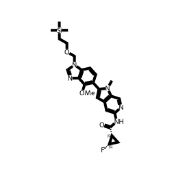 COc1c(-c2cc3cc(NC(=O)[C@@H]4C[C@@H]4F)ncc3n2C)ccc2c1ncn2COCC[Si](C)(C)C